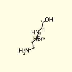 Br.NCCCNCCO